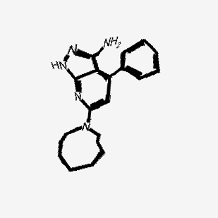 Nc1n[nH]c2nc(N3CCCCCC3)cc(-c3ccccc3)c12